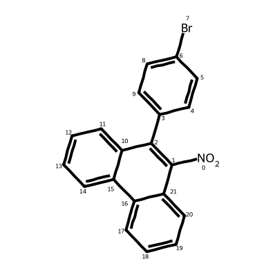 O=[N+]([O-])c1c(-c2ccc(Br)cc2)c2ccccc2c2ccccc12